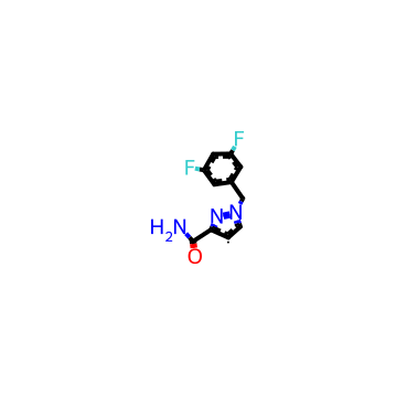 NC(=O)c1[c]cn(Cc2cc(F)cc(F)c2)n1